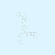 CC1(C)c2ccccc2-c2cc(N(c3ccc(-c4ccc5c(ccc6ccc7ccccc7c65)c4)cc3)c3ccc4c(c3)sc3ccccc34)ccc21